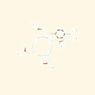 CC(C)c1ccc(CC2CN(CC(=O)O)CCN(CC(=O)O)CCN(CC(=O)O)CCN2CC(=O)O)cc1